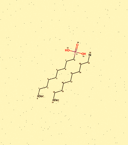 CCCCCCCCCCCCCCCCCCP(=O)(O)O.CCCCCCCCCCCCCCCCC[CH2][Ni]